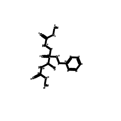 CC(C)(C)OC(=O)NCP(=O)(OCc1ccccc1)C(Br)NC(=O)OC(C)(C)C